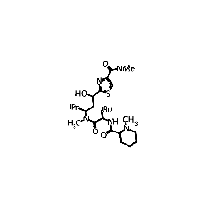 CCC(C)C(NC(=O)C1CCCCN1C)C(=O)N(C)C(CC(O)c1nc(C(=O)NC)cs1)C(C)C